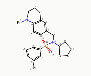 CCN1CCCc2cc(CN(C3CCCC3)S(=O)(=O)c3cccc(C(C)C)c3)ccc21